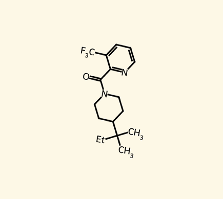 CCC(C)(C)C1CCN(C(=O)c2ncccc2C(F)(F)F)CC1